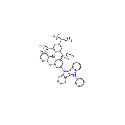 CC(C)c1cc(C(C)C)c(B2c3ccccc3Sc3cc(-n4c5ccccc5c5c4c4ccccc4n5-c4ccccc4)ccc32)c(C(C)C)c1